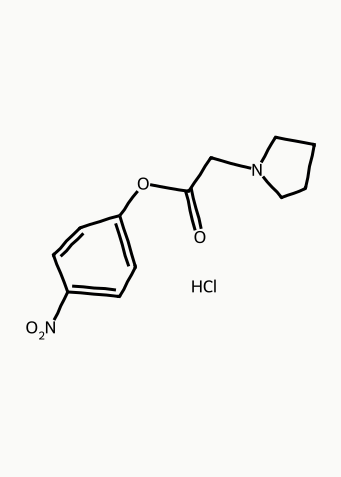 Cl.O=C(CN1CCCC1)Oc1ccc([N+](=O)[O-])cc1